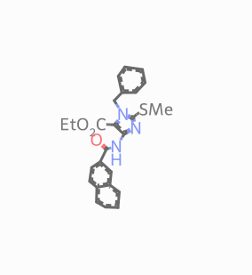 CCOC(=O)c1c(NC(=O)c2ccc3ccccc3c2)nc(SC)n1Cc1ccccc1